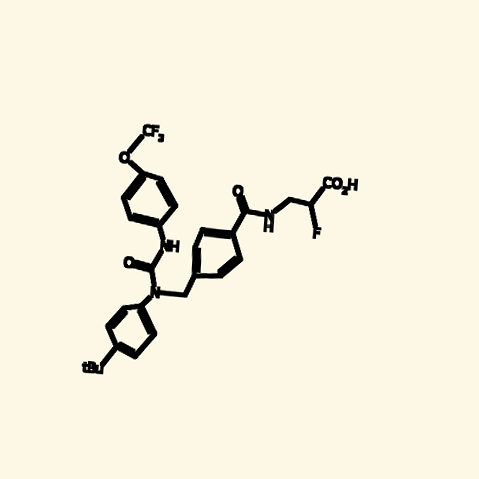 CC(C)(C)c1ccc(N(Cc2ccc(C(=O)NCC(F)C(=O)O)cc2)C(=O)Nc2ccc(OC(F)(F)F)cc2)cc1